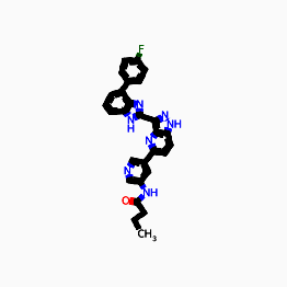 CCCC(=O)Nc1cncc(-c2ccc3[nH]nc(-c4nc5c(-c6ccc(F)cc6)cccc5[nH]4)c3n2)c1